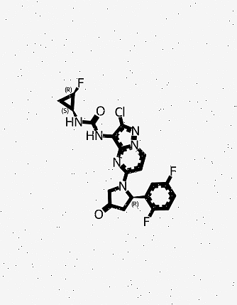 O=C1C[C@H](c2cc(F)ccc2F)N(c2ccn3nc(Cl)c(NC(=O)N[C@H]4C[C@H]4F)c3n2)C1